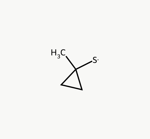 CC1([S])CC1